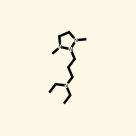 CCN(CC)CC[CH2][Al]1[N](C)CC[N]1C